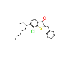 CCCCCC(CC)c1ccc2c(c1Cl)SC(=Cc1ccccc1)C2=O